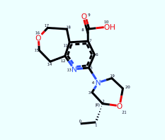 CC[C@@H]1CN(c2cc(C(=O)O)c3c(n2)CCOCC3)CCO1